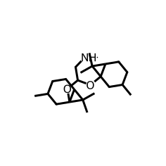 CC1CCC2C(C)(C)C2(OC(C[NH])OC23CC(C)CCC2C3(C)C)C1